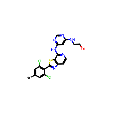 N#Cc1cc(Cl)c(-c2nc3ccnc(Nc4cc(NCCO)ncn4)c3s2)c(Cl)c1